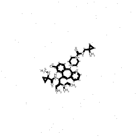 C=CN(C)/C(=C\N)[C@H](NC(=O)C1(OC)CC1)C1=Cc2cccnc2[C@@H](N2CCN(C(=O)OCC3(C)CC3)CC2)c2ccc(Cl)cc21